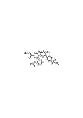 CC(C)(C)OC(=O)N1Cc2nc3cc(F)c(-c4ccc(S(C)(=O)=O)cc4)cc3n2[C@@H](c2ccccc2OC(F)F)C1